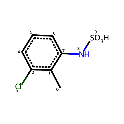 Cc1c(Cl)cccc1NS(=O)(=O)O